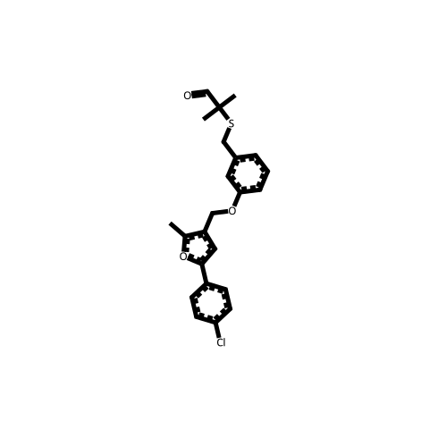 Cc1oc(-c2ccc(Cl)cc2)cc1COc1cccc(CSC(C)(C)C=O)c1